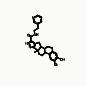 CCc1cc2c(cc1O)CCC1C2CC[C@]2(C)c3n[nH]c(C(=O)NCCc4cccnc4)c3CC12